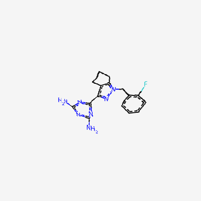 Nc1nc(N)nc(-c2nn(Cc3ccccc3F)c3c2CCC3)n1